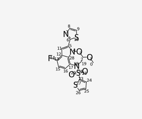 COCOn1c(-c2nccs2)cc2c(F)ccc(N(C)S(=O)(=O)c3cccs3)c21